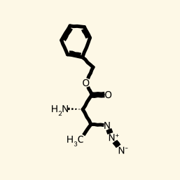 CC(N=[N+]=[N-])[C@H](N)C(=O)OCc1ccccc1